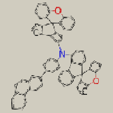 c1ccc2c(c1)Oc1ccccc1C21c2ccccc2-c2cc(N(c3ccc(-c4ccc5c(ccc6ccccc65)c4)cc3)c3cccc4c3-c3ccccc3C43c4ccccc4Oc4ccccc43)ccc21